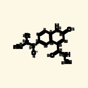 CCCCN(CC)[S+]([O-])c1ccc2[nH]c(=O)cc(C(=O)NC(C)CC)c2c1